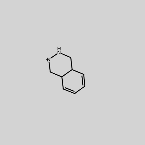 C1=CC2C[N]NCC2C=C1